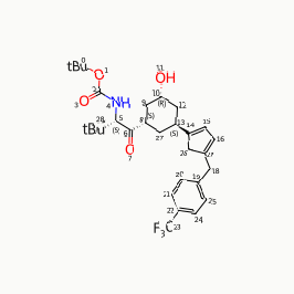 CC(C)(C)OC(=O)N[C@H](C(=O)[C@@H]1C[C@H](O)C[C@@H](C2=CC=C(Cc3ccc(C(F)(F)F)cc3)C2)C1)C(C)(C)C